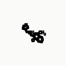 Cn1cc(CNCc2ccns2)c(=O)c2ccccc21